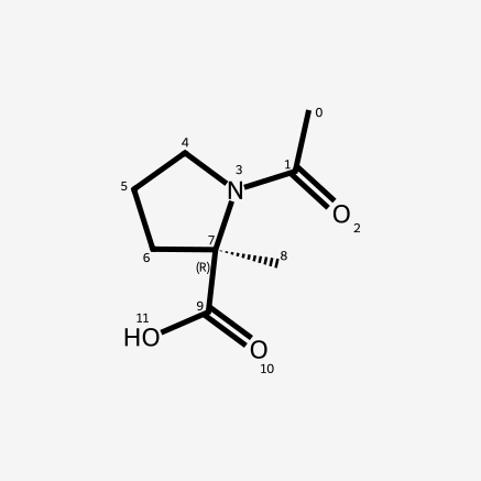 CC(=O)N1CCC[C@]1(C)C(=O)O